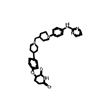 O=C1CCC(Oc2ccc(C3CCN(CC4CCN(c5ccc(Nc6ncccn6)cc5)CC4)CC3)cc2)C(=O)N1